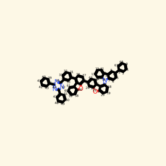 c1ccc(-c2ccc3c(c2)c2ccccc2n3-c2cccc3oc4cc(-c5ccc(-c6cccc(-c7nc(-c8ccccc8)nc(-c8ccccc8)n7)c6)c6c5oc5ccccc56)ccc4c23)cc1